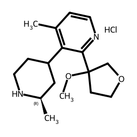 COC1(c2nccc(C)c2C2CCN[C@H](C)C2)CCOC1.Cl